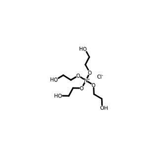 OCCO[N+](OCCO)(OCCO)OCCO.[Cl-]